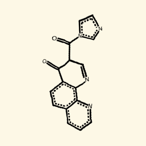 O=C1c2ccc3cccnc3c2N=CC1C(=O)n1ccnc1